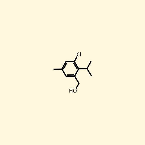 Cc1cc(Cl)c(C(C)C)c(CO)c1